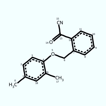 Cc1ccc(OCc2ccccc2C(=O)C#N)c(C)c1